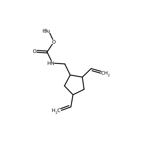 C=CC1CC(C=C)C(CNC(=O)OC(C)(C)C)C1